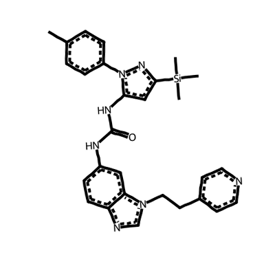 Cc1ccc(-n2nc([Si](C)(C)C)cc2NC(=O)Nc2ccc3ncn(CCc4ccncc4)c3c2)cc1